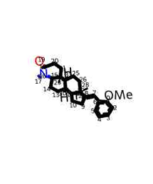 COc1ccccc1C=C1CC[C@H]2[C@@H]3CCC4N(C)C(=O)CC[C@]4(C)[C@@H]3CC[C@]12C